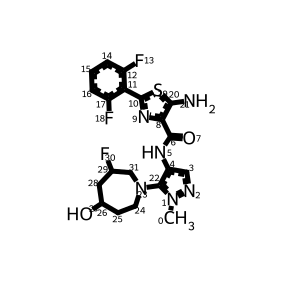 Cn1ncc(NC(=O)c2nc(-c3c(F)cccc3F)sc2N)c1N1CCC(O)CC(F)C1